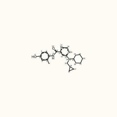 Cc1cc(O)ccc1NC(=O)c1cc(N(CC2CC2)C2CCCCC2)ncn1